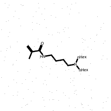 C=C(C)C(=O)NCCCCN(CCCCCC)CCCCCC